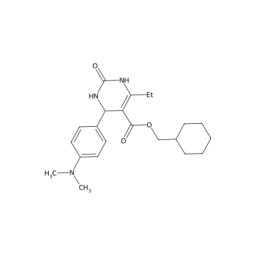 CCC1=C(C(=O)OCC2CCCCC2)C(c2ccc(N(C)C)cc2)NC(=O)N1